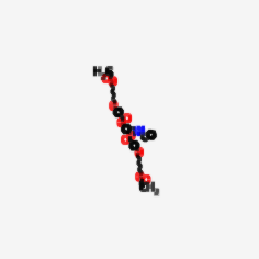 C=CC(=O)OCCCCCCOc1ccc(C(=O)Oc2ccc(OC(=O)c3ccc(OCCCCCCOC(=O)C=C)cc3)c(/C=N/N=C3\CCc4ccccc43)c2)cc1